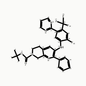 CC(C)(C)OC(=O)N1CCc2cc(Nc3cc(-c4ncccn4)c(C(F)(F)F)cc3F)c(-c3ccccc3)nc2C1